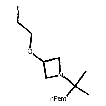 CCCCCC(C)(C)N1CC(OCCF)C1